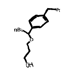 CCCCC(OCCCO)c1ccc(CC(C)C)cc1